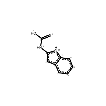 OC(=S)Nc1cc2ccccc2[nH]1